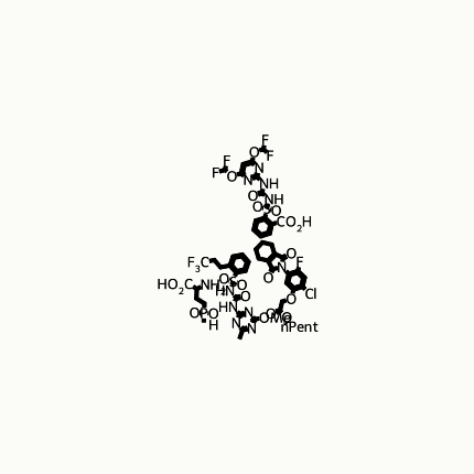 CCCCCOC(=O)COc1cc(N2C(=O)C3=C(CCCC3)C2=O)c(F)cc1Cl.COc1nc(C)nc(NC(=O)NS(=O)(=O)c2ccccc2CCC(F)(F)F)n1.CP(=O)(O)CCC(N)C(=O)O.O=C(Nc1nc(OC(F)F)cc(OC(F)F)n1)NS(=O)(=O)c1ccccc1C(=O)O